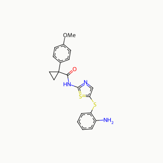 COc1ccc(C2(C(=O)Nc3ncc(Sc4ccccc4N)s3)CC2)cc1